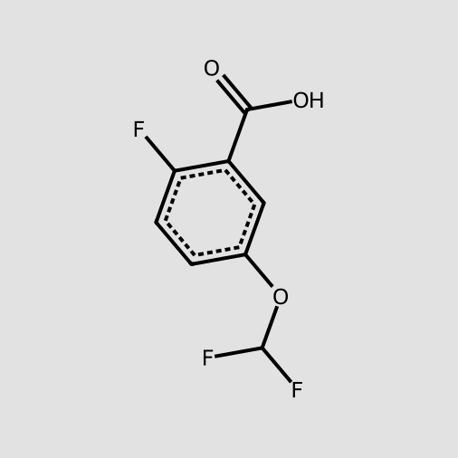 O=C(O)c1cc(OC(F)F)ccc1F